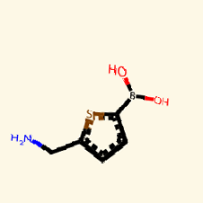 NCc1ccc(B(O)O)s1